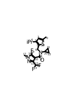 Cc1cc(C(C)C)c(CN(C(=O)c2c(C(F)F)nn(C)c2F)C2CC2)s1